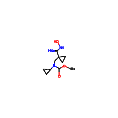 CC(C)(C)OC(=O)N(CC1(C(=N)NO)CC1)C1CC1